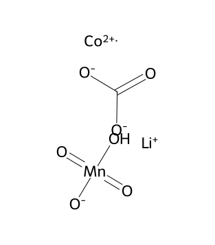 O=C([O-])[O-].[Co+2].[Li+].[O]=[Mn](=[O])([O-])[OH]